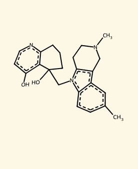 Cc1ccc2c(c1)c1c(n2CC2(O)CCCc3nccc(O)c32)CCN(C)C1